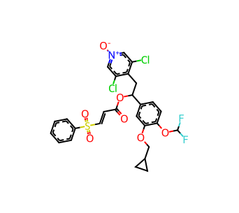 O=C(C=CS(=O)(=O)c1ccccc1)OC(Cc1c(Cl)c[n+]([O-])cc1Cl)c1ccc(OC(F)F)c(OCC2CC2)c1